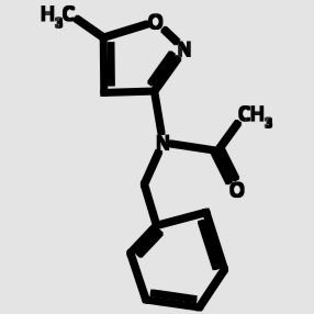 CC(=O)N(Cc1ccccc1)c1cc(C)on1